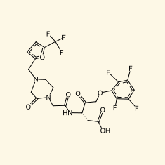 O=C(O)C[C@H](NC(=O)CN1CCN(Cc2ccc(C(F)(F)F)o2)CC1=O)C(=O)COc1c(F)c(F)cc(F)c1F